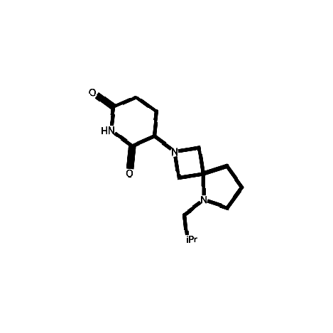 CC(C)CN1CCCC12CN(C1CCC(=O)NC1=O)C2